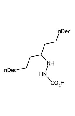 CCCCCCCCCCCCC(CCCCCCCCCCCC)NNC(=O)O